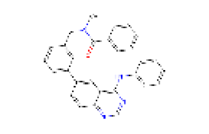 CCCN(Cc1cccc(-c2ccc3ncnc(Nc4ccccc4)c3c2)c1)C(=O)c1ccccc1